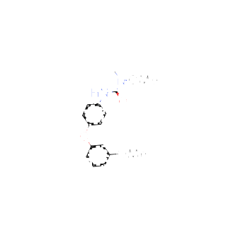 COc1cccc(Oc2ccc(NC(=O)N(C)OC)cc2)c1